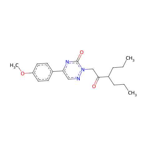 CCCC(CCC)C(=O)Cn1ncc(-c2ccc(OC)cc2)nc1=O